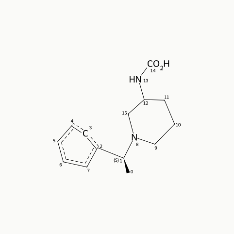 C[C@@H](c1ccccc1)N1CCCC(NC(=O)O)C1